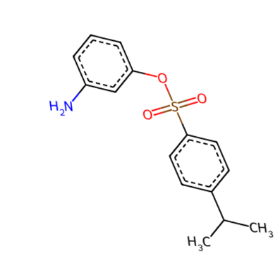 CC(C)c1ccc(S(=O)(=O)Oc2cccc(N)c2)cc1